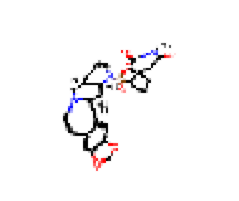 CCC(C)N1C(=O)CC2(CCCC2S(=O)(=O)N2CCC[C@@H]3CN4CCc5cc6c(cc5[C@@H]4C[C@@H]32)OCO6)CC1=O